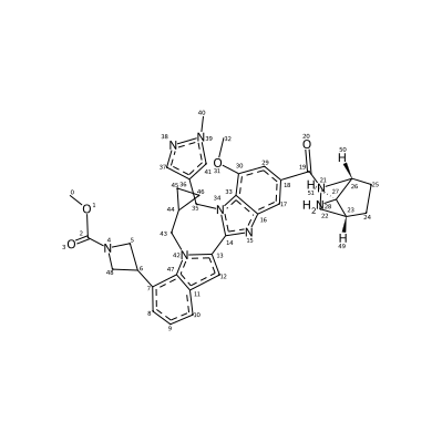 COC(=O)N1CC(c2cccc3cc(-c4nc5cc(C(=O)N6C[C@H]7CC[C@@H]6[C@@H]7N)cc(OC)c5n4Cc4cnn(C)c4)n(CC4CC4)c23)C1